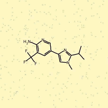 CC(C)c1nc(-c2cnc(N)c(C(F)(F)F)c2)cn1C